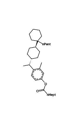 CCCCCCCC(=O)Oc1ccc(C(C)[C@H]2CC[C@H](C3(CCCCC)CCCCC3)CC2)c(C)c1